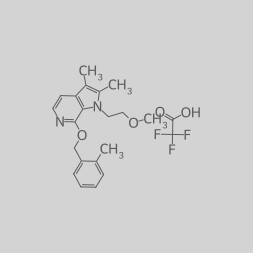 COCCn1c(C)c(C)c2ccnc(OCc3ccccc3C)c21.O=C(O)C(F)(F)F